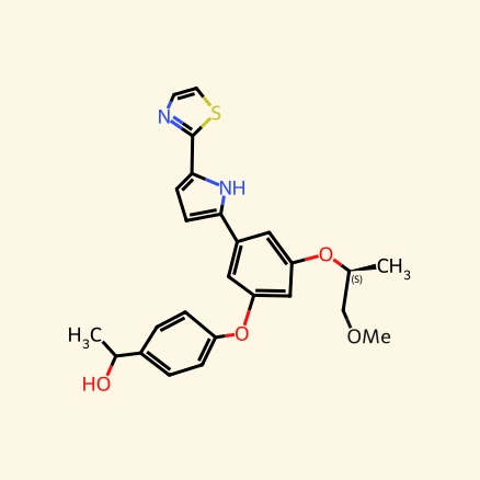 COC[C@H](C)Oc1cc(Oc2ccc(C(C)O)cc2)cc(-c2ccc(-c3nccs3)[nH]2)c1